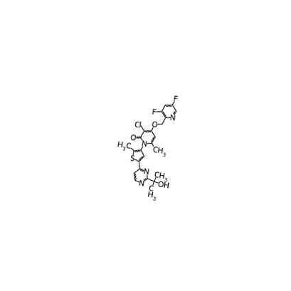 Cc1sc(-c2ccnc(C(C)(C)O)n2)cc1-n1c(C)cc(OCc2ncc(F)cc2F)c(Cl)c1=O